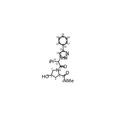 CNC(=O)C1CC(O)CN1C(=O)C(C(C)C)n1cc(-c2ccccc2)nn1